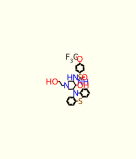 N=S(=O)(NC1CN(CCO)CC(N2c3ccccc3Sc3ccccc32)C1O)c1ccc(OC(F)(F)F)cc1